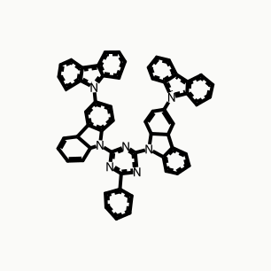 C1=CC2c3cc(-n4c5ccccc5c5ccccc54)ccc3N(c3nc(-c4ccccc4)nc(N4c5ccccc5C5C=C(n6c7ccccc7c7ccccc76)C=CC54)n3)C2C=C1